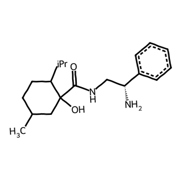 CC1CCC(C(C)C)C(O)(C(=O)NC[C@@H](N)c2ccccc2)C1